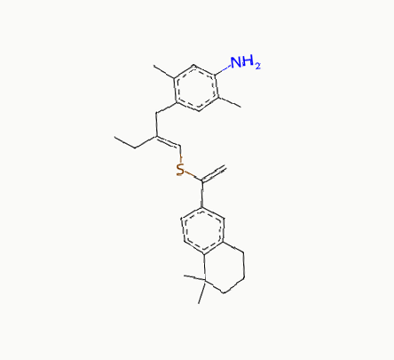 C=C(S/C=C(\CC)Cc1cc(C)c(N)cc1C)c1ccc2c(c1)CCCC2(C)C